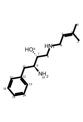 CC(C)=CCNC[C@@H](O)[C@@H](N)Cc1ccccc1